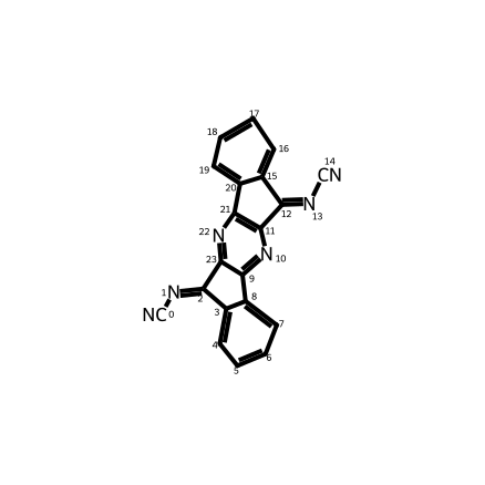 N#C/N=c1\c2ccccc2c2nc3/c(=N/C#N)c4ccccc4c3nc12